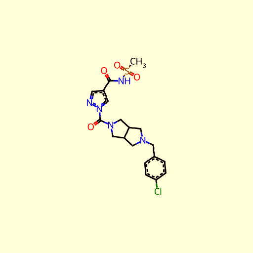 CS(=O)(=O)NC(=O)c1cnn(C(=O)N2CC3CN(Cc4ccc(Cl)cc4)CC3C2)c1